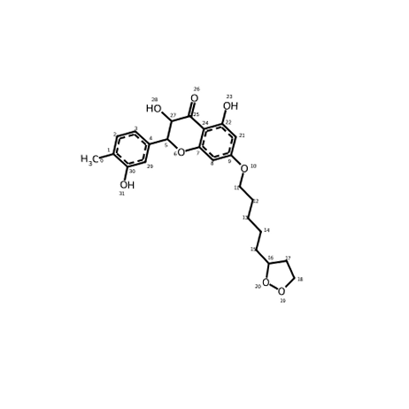 Cc1ccc(C2Oc3cc(OCCCCCC4CCOO4)cc(O)c3C(=O)C2O)cc1O